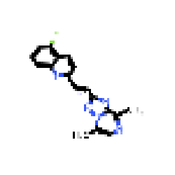 Cc1ncc(C)n2nc(/C=C/c3ccc4c(F)cccc4n3)nc12